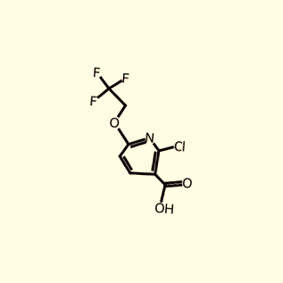 O=C(O)c1ccc(OCC(F)(F)F)nc1Cl